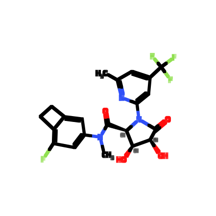 Cc1cc(C(F)(F)F)cc(N2C(=O)[C@@H](O)[C@@H](O)[C@H]2C(=O)N(C)c2cc(F)c3c(c2)CC3)n1